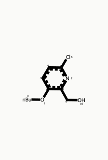 CCCCOc1ccc(Cl)nc1CO